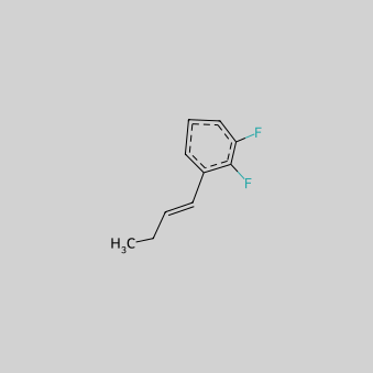 CCC=Cc1cccc(F)c1F